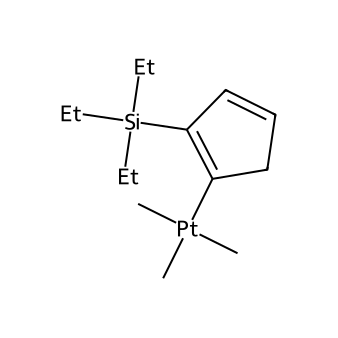 CC[Si](CC)(CC)C1=[C]([Pt]([CH3])([CH3])[CH3])CC=C1